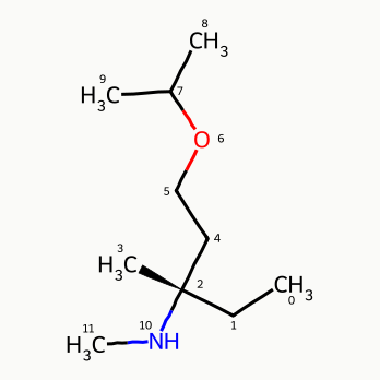 CC[C@@](C)(CCOC(C)C)NC